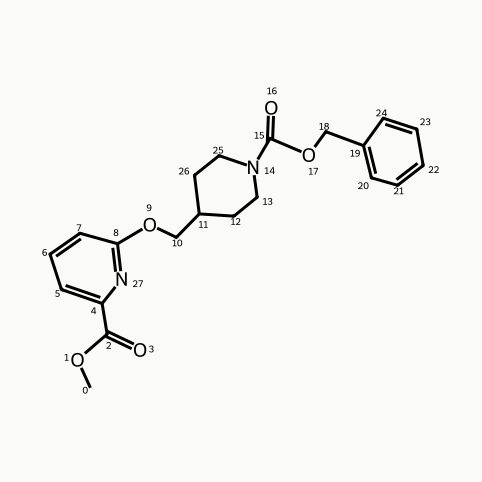 COC(=O)c1cccc(OCC2CCN(C(=O)OCc3ccccc3)CC2)n1